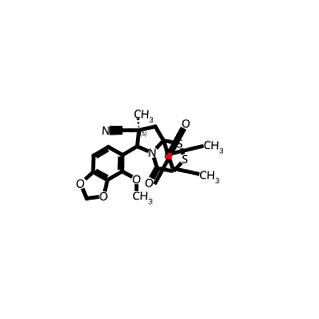 COc1c(C2N3C(=O)C4SSC3(C[C@]2(C)C#N)C(=O)N(C)C4C)ccc2c1OCO2